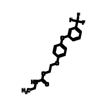 CCNC(=O)OCCOc1ccc(Oc2cccc(C(F)(F)F)c2)cc1